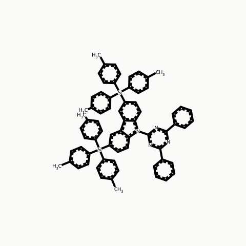 Cc1ccc([Si](c2ccc(C)cc2)(c2ccc(C)cc2)c2ccc3c(c2)c2cc([Si](c4ccc(C)cc4)(c4ccc(C)cc4)c4ccc(C)cc4)ccc2n3-c2nc(-c3ccccc3)nc(-c3ccccc3)n2)cc1